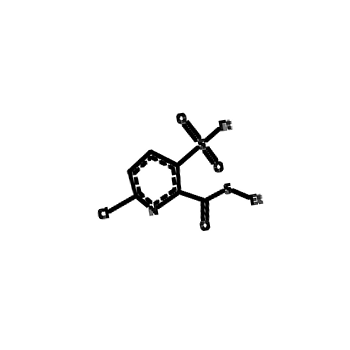 CCSC(=O)c1nc(Cl)ccc1S(=O)(=O)CC